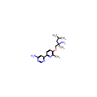 Cc1nc(-c2cc(N)ncn2)ccc1OC[C@@](C)(N)CC(C)C